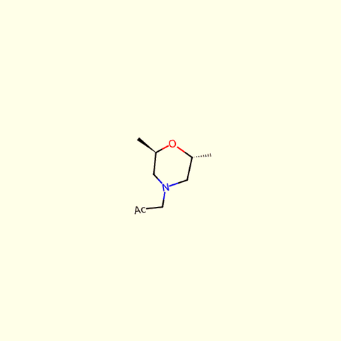 CC(=O)CN1C[C@@H](C)O[C@H](C)C1